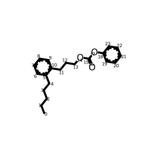 CCCCCc1ccccc1CCCOC(=O)Oc1ccccc1